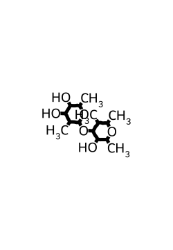 CC1OC(C)C(O)C(OC2OC(C)C(O)C(O)C2C)C1C